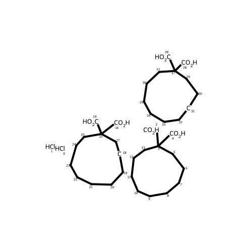 Cl.Cl.O=C(O)C1(C(=O)O)CCCCCCCCC1.O=C(O)C1(C(=O)O)CCCCCCCCC1.O=C(O)C1(C(=O)O)CCCCCCCCC1